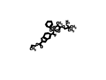 C=CCOC(=O)c1cc2cc(C(F)P(=O)(N[C@@H](C)C(=O)OCC(C)(C)C)Oc3ccccc3)ccc2s1